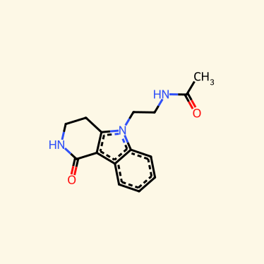 CC(=O)NCCn1c2c(c3ccccc31)C(=O)NCC2